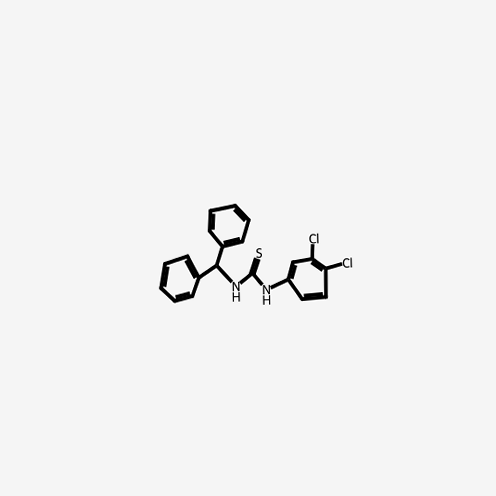 S=C(Nc1ccc(Cl)c(Cl)c1)NC(c1ccccc1)c1ccccc1